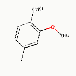 Cc1ccc(C=O)c(OC(C)(C)C)c1